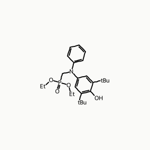 CCOP(=O)(CN(c1ccccc1)c1cc(C(C)(C)C)c(O)c(C(C)(C)C)c1)OCC